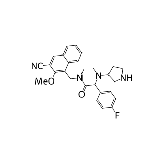 COc1c(C#N)cc2ccccc2c1CN(C)C(=O)C(c1ccc(F)cc1)N(C)C1CCNC1